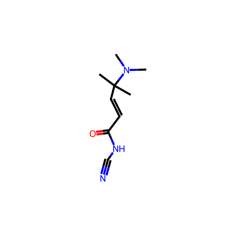 CN(C)C(C)(C)C=CC(=O)NC#N